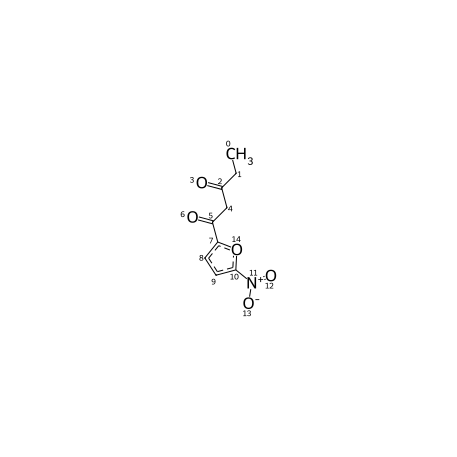 CCC(=O)CC(=O)c1ccc([N+](=O)[O-])o1